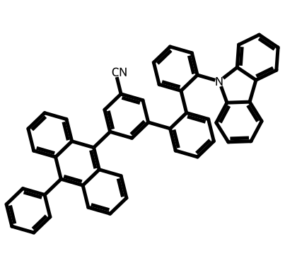 N#Cc1cc(-c2ccccc2-c2ccccc2-n2c3ccccc3c3ccccc32)cc(-c2c3ccccc3c(-c3ccccc3)c3ccccc23)c1